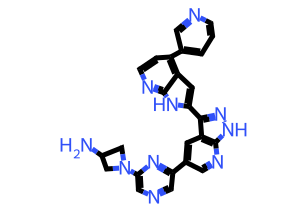 NC1CN(c2cncc(-c3cnc4[nH]nc(-c5cc6c(-c7cccnc7)ccnc6[nH]5)c4c3)n2)C1